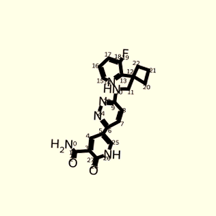 NC(=O)c1cc(-c2ccc(NCC3(c4ncccc4F)CCC3)nn2)c[nH]c1=O